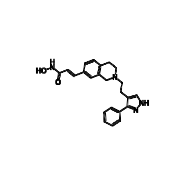 O=C(C=Cc1ccc2c(c1)CN(CCc1c[nH]nc1-c1ccccc1)CC2)NO